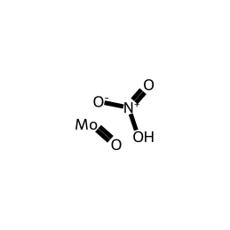 O=[N+]([O-])O.[O]=[Mo]